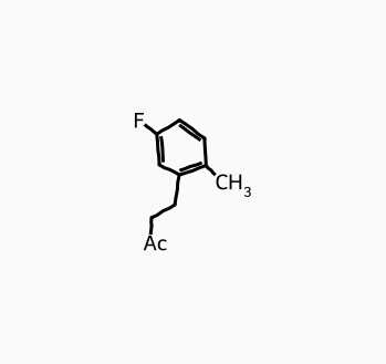 CC(=O)CCc1cc(F)ccc1C